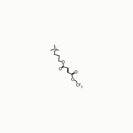 C[Si](C)(C)CCCOC(=O)/C=C/C(=O)OCC(F)(F)F